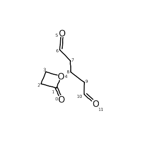 O=C1CCO1.O=CCCCC=O